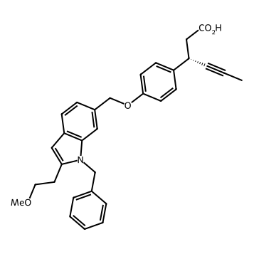 CC#C[C@@H](CC(=O)O)c1ccc(OCc2ccc3cc(CCOC)n(Cc4ccccc4)c3c2)cc1